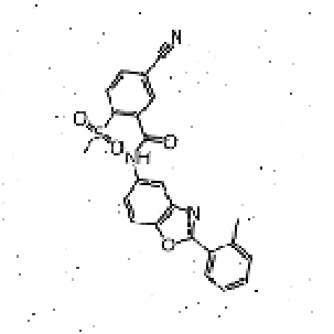 Cc1ccccc1-c1nc2cc(NC(=O)c3cc(C#N)ccc3S(C)(=O)=O)ccc2o1